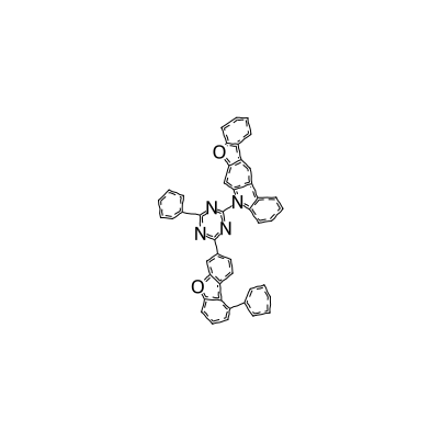 c1ccc(-c2nc(-c3ccc4c(c3)oc3cccc(-c5ccccc5)c34)nc(-n3c4ccccc4c4cc5c(cc43)oc3ccccc35)n2)cc1